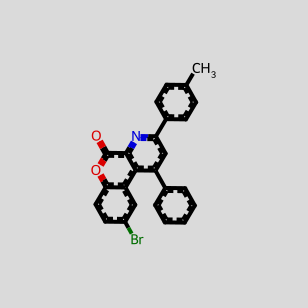 Cc1ccc(-c2cc(-c3ccccc3)c3c(n2)c(=O)oc2ccc(Br)cc23)cc1